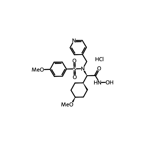 COc1ccc(S(=O)(=O)N(Cc2ccncc2)[C@@H](C(=O)NO)[C@H]2CC[C@@H](OC)CC2)cc1.Cl